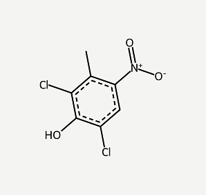 Cc1c([N+](=O)[O-])cc(Cl)c(O)c1Cl